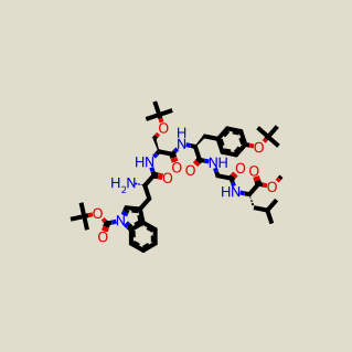 COC(=O)[C@H](CC(C)C)NC(=O)CNC(=O)[C@H](Cc1ccc(OC(C)(C)C)cc1)NC(=O)[C@H](COC(C)(C)C)NC(=O)[C@@H](N)Cc1cn(C(=O)OC(C)(C)C)c2ccccc12